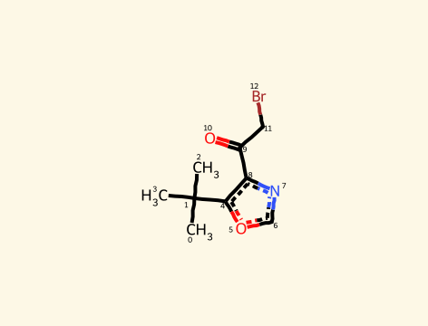 CC(C)(C)c1ocnc1C(=O)CBr